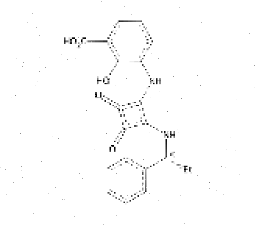 CC[C@@H](Nc1c(Nc2cccc(C(=O)O)c2O)c(=O)c1=O)c1ccccc1